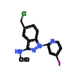 O=CNc1nn(-c2cc(I)ccn2)c2ccc(CCl)cc12